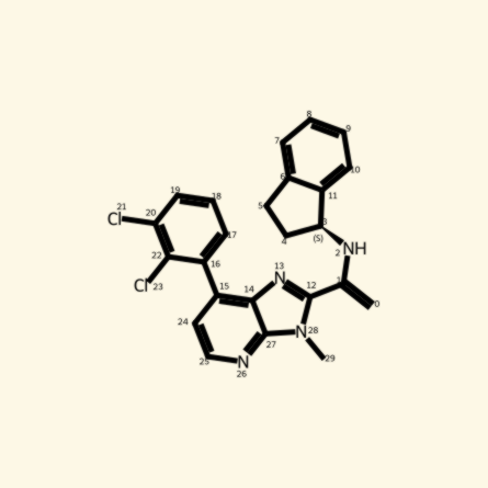 C=C(N[C@H]1CCc2ccccc21)c1nc2c(-c3cccc(Cl)c3Cl)ccnc2n1C